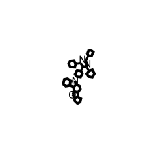 c1ccc(-c2nc(-c3ccccc3)c(-c3ccc(-n4c5ccccc5c5c6oc7ccccc7c6ccc54)cc3)c(-c3ccccc3)n2)cc1